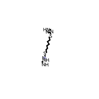 N=CN/N=C/SCCCCCCCCSc1nc[nH]n1